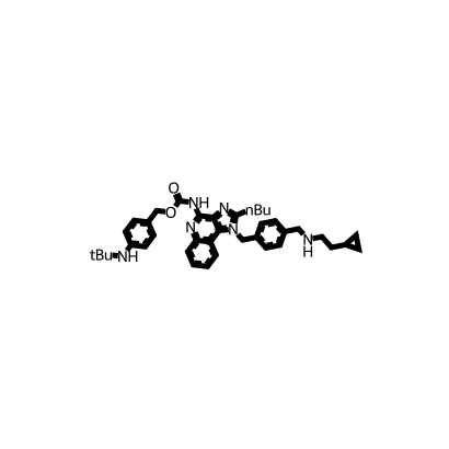 CCCCc1nc2c(NC(=O)OCc3ccc(NC(C)(C)C)cc3)nc3ccccc3c2n1Cc1ccc(CNCCC2CC2)cc1